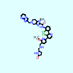 COc1nc(-c2ccnc(-c3cccc(NC(=O)c4nc5c(n4C)CCN(Cc4cn6cccnc6n4)C5)c3Cl)c2Cl)ccc1CNCC1CCC(=O)N1